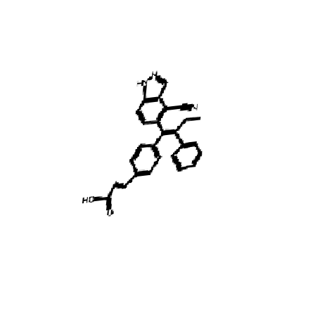 CCC(=C(c1ccc(C=CC(=O)O)cc1)c1ccc2[nH]ncc2c1C#N)c1ccccc1